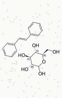 C(=Cc1ccccc1)c1ccccc1.OC[C@H]1OC(O)[C@H](O)[C@@H](O)[C@@H]1O